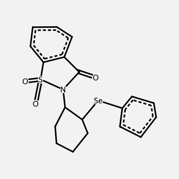 O=C1c2ccccc2S(=O)(=O)N1C1CCCCC1[Se]c1ccccc1